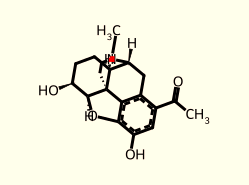 CC(=O)c1cc(O)c2c3c1C[C@@H]1[C@@H]4CC[C@H](O)[C@H](O2)[C@]34CCN1C